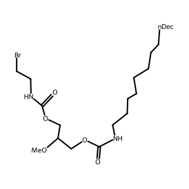 CCCCCCCCCCCCCCCCCCNC(=O)OCC(COC(=O)NCCBr)OC